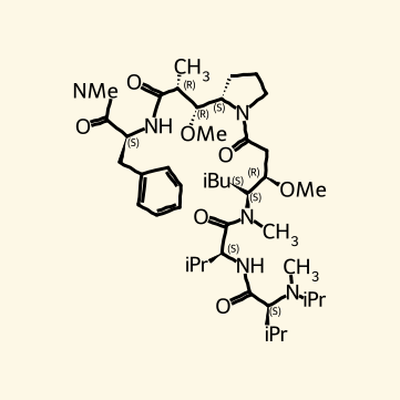 CC[C@H](C)[C@@H]([C@@H](CC(=O)N1CCC[C@H]1[C@H](OC)[C@@H](C)C(=O)N[C@@H](Cc1ccccc1)C(=O)NC)OC)N(C)C(=O)[C@@H](NC(=O)[C@H](C(C)C)N(C)C(C)C)C(C)C